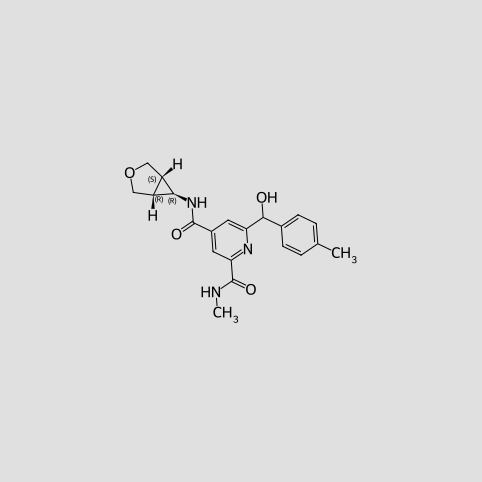 CNC(=O)c1cc(C(=O)N[C@H]2[C@@H]3COC[C@@H]32)cc(C(O)c2ccc(C)cc2)n1